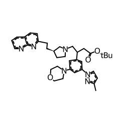 Cc1ccn(-c2cc(C(CC(=O)OC(C)(C)C)CN3CC[C@@H](CCc4ccc5cccnc5n4)C3)cc(N3CCOCC3)c2)n1